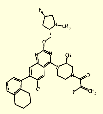 C=C(F)C(=O)N1CCN(c2nc(OC[C@@H]3C[C@@H](F)CN3C)nc3cc(-c4cccc5c4CCCC5)c(Cl)cc23)[C@@H](C)C1